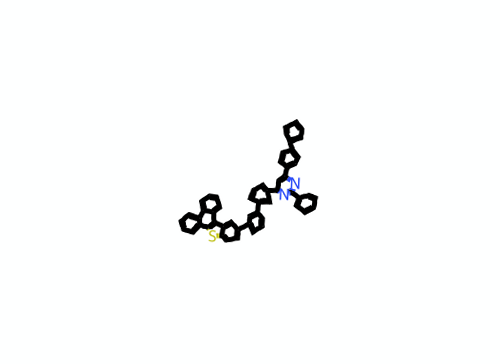 c1ccc(-c2ccc(-c3cc(-c4cccc(-c5cccc(-c6ccc7sc8c9ccccc9c9ccccc9c8c7c6)c5)c4)nc(-c4ccccc4)n3)cc2)cc1